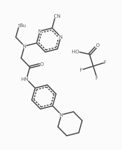 CC(C)(C)CN(CC(=O)Nc1ccc(N2CCCCC2)cc1)c1ccnc(C#N)n1.O=C(O)C(F)(F)F